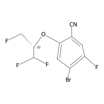 N#Cc1cc(F)c(Br)cc1O[C@@H](CF)C(F)F